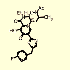 CCN1C[C@H](CC(C)N(C)C(C)=O)n2cc(-c3ncc(Cc4ccc(F)cc4)s3)c(=O)c(O)c2C1=O